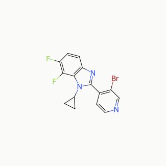 Fc1ccc2nc(-c3ccncc3Br)n(C3CC3)c2c1F